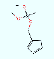 CO[Si](C)(OC)OCC1=CC=CC1